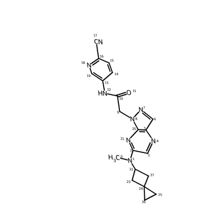 CN(c1cnc2cnn(CC(=O)Nc3ccc(C#N)nc3)c2n1)C1CC2(CC2)C1